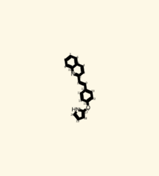 C(=C\c1ccc2ccccc2n1)/c1ccc(Oc2ccc[nH]2)cc1